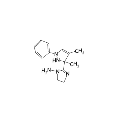 CC1=CN(c2ccccc2)NC1(C)C1=NCCN1N